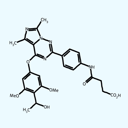 COc1cc(Oc2nc(-c3ccc(NC(=O)CCC(=O)O)cc3)nn3c(C)nc(C)c23)cc(OC)c1C(C)O